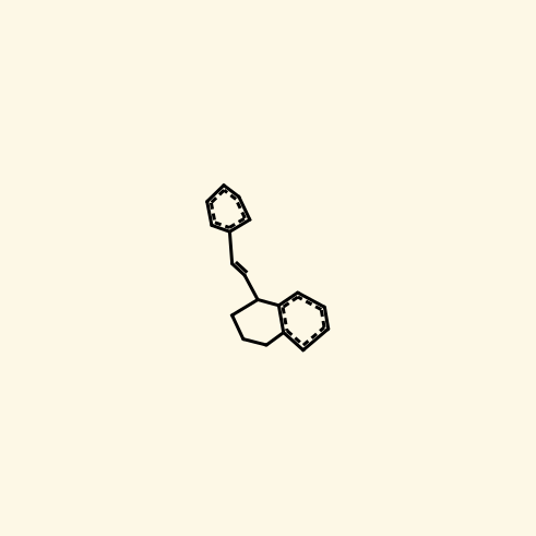 C(=CC1CCCc2ccccc21)c1ccccc1